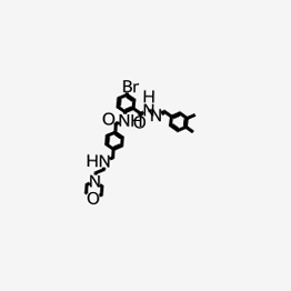 Cc1ccc(/C=N/NC(=O)c2cc(Br)ccc2NC(=O)c2ccc(CNCCN3CCOCC3)cc2)cc1C